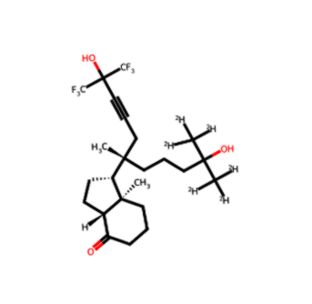 [2H]C([2H])([2H])C(O)(CCC[C@@](C)(CC#CC(O)(C(F)(F)F)C(F)(F)F)[C@H]1CC[C@H]2C(=O)CCC[C@]12C)C([2H])([2H])[2H]